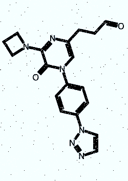 O=CCCc1cn(-c2ccc(-n3ccnn3)cc2)c(=O)c(N2CCC2)n1